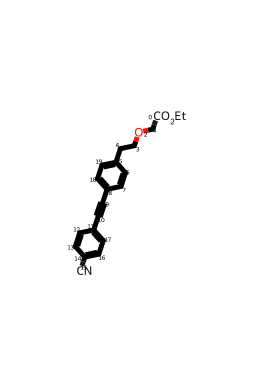 CCOC(=O)COCCc1ccc(C#Cc2ccc(C#N)cc2)cc1